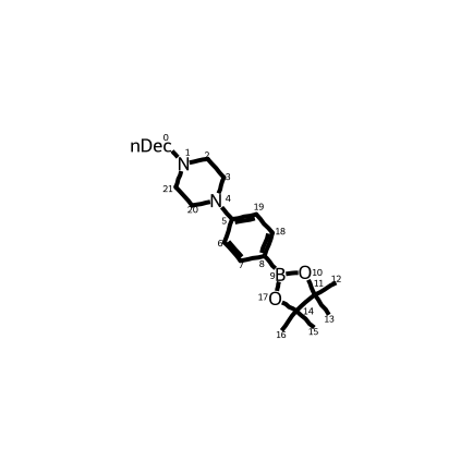 CCCCCCCCCCN1CCN(c2ccc(B3OC(C)(C)C(C)(C)O3)cc2)CC1